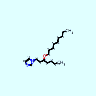 CCCCCCCCCOC(CCCC)CCn1ccnc1